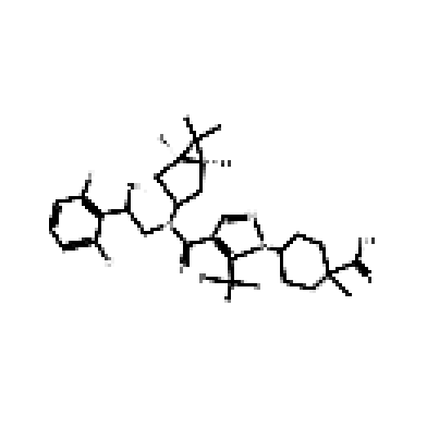 CC1(C(=O)O)CCC(n2ncc(C(=O)N(CC(N)c3c(F)cccc3Cl)C3C[C@@H]4[C@H](C3)C4(C)C)c2C(F)(F)F)CC1